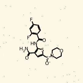 NC(=O)c1cc([S+]([O-])N2CCOCC2)sc1NC(=O)c1ccc(F)cc1F